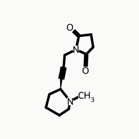 CN1CCCC[C@H]1C#CCN1C(=O)CCC1=O